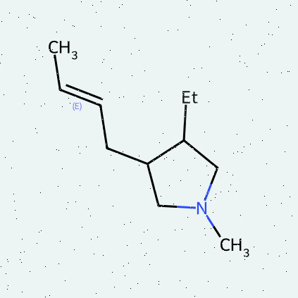 C/C=C/CC1CN(C)CC1CC